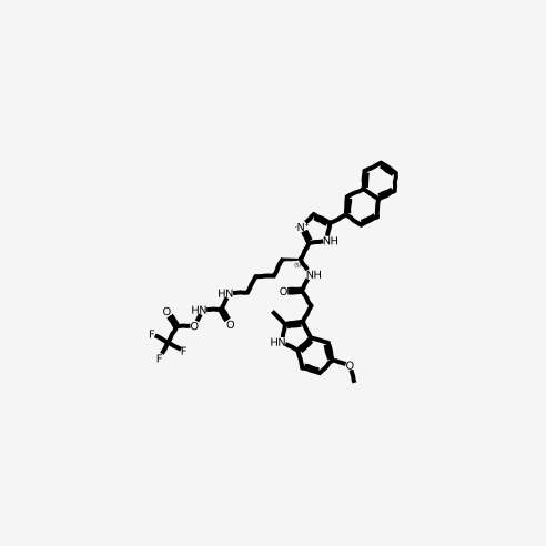 COc1ccc2[nH]c(C)c(CC(=O)N[C@@H](CCCCNC(=O)NOC(=O)C(F)(F)F)C3=[N+]C=C(c4ccc5ccccc5c4)N3)c2c1